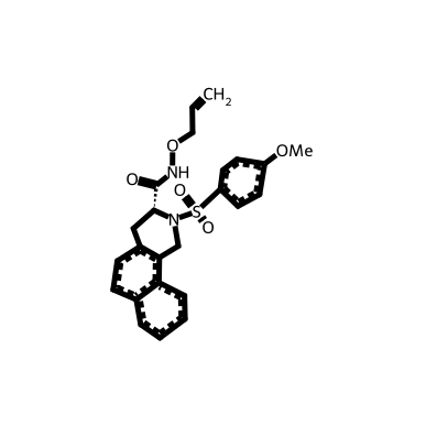 C=CCONC(=O)[C@H]1Cc2ccc3ccccc3c2CN1S(=O)(=O)c1ccc(OC)cc1